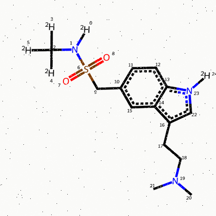 [2H]N(C([2H])([2H])[2H])S(=O)(=O)Cc1ccc2c(c1)c(CCN(C)C)cn2[2H]